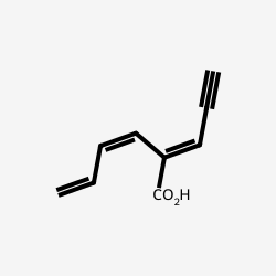 C#C/C=C(\C=C/C=C)C(=O)O